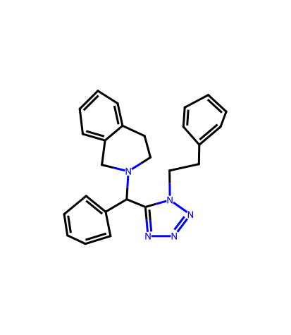 c1ccc(CCn2nnnc2C(c2ccccc2)N2CCc3ccccc3C2)cc1